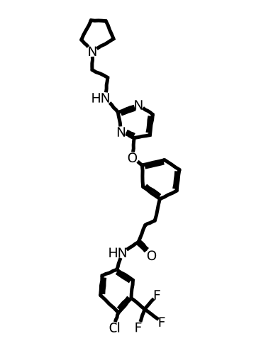 O=C(CCc1cccc(Oc2ccnc(NCCN3CCCC3)n2)c1)Nc1ccc(Cl)c(C(F)(F)F)c1